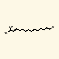 CCCCC(O)C=CCCCCCCCCCCCBr